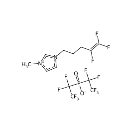 C[n+]1ccn(CCCC(F)=C(F)F)c1.O=P([O-])(C(F)(F)C(F)(F)F)C(F)(F)C(F)(F)F